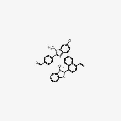 CN1c2ccccc2SC1c1ccc(C=O)c2ccccc12.C[n+]1c(-c2ccc(C=O)cc2)sc2ccc(Cl)cc21